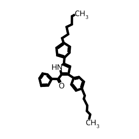 CCCCCCc1ccc(-c2cc(-c3ccc(CCCCCC)cc3)c(C(=O)c3ccccc3)[nH]2)cc1